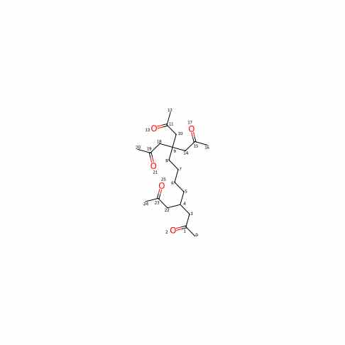 CC(=O)CC(CCCCC(CC(C)=O)(CC(C)=O)CC(C)=O)CC(C)=O